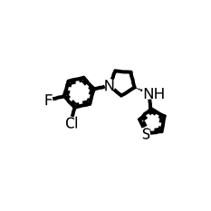 Fc1ccc(N2CC[C@H](Nc3ccsc3)C2)cc1Cl